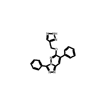 c1ccc(-c2cc3nnc(-c4ccccc4)n3nc2OCc2cn[nH]n2)cc1